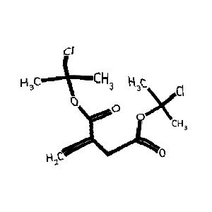 C=C(CC(=O)OC(C)(C)Cl)C(=O)OC(C)(C)Cl